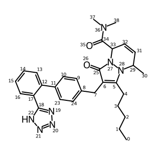 CCCCCc1c(Cc2ccc(-c3ccccc3-c3nnn[nH]3)cc2)c(=O)n2n1C(C)C=CC2C(=O)N(C)C